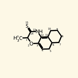 CC1OC2=CCC3CCCCC3=C2NC1=S